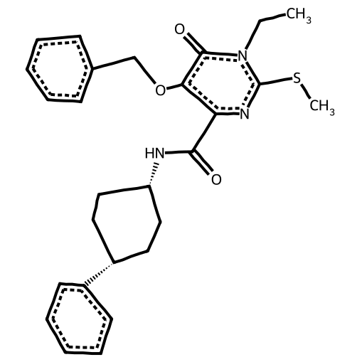 CCn1c(SC)nc(C(=O)N[C@H]2CC[C@@H](c3ccccc3)CC2)c(OCc2ccccc2)c1=O